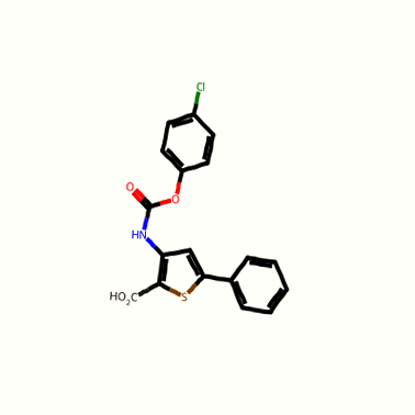 O=C(Nc1cc(-c2ccccc2)sc1C(=O)O)Oc1ccc(Cl)cc1